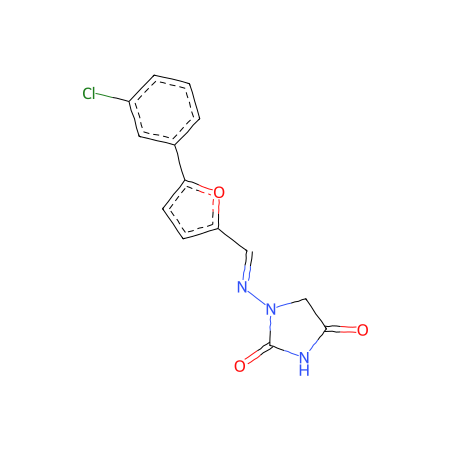 O=C1CN(N=Cc2ccc(-c3cccc(Cl)c3)o2)C(=O)N1